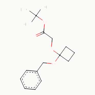 CC(C)(C)OC(=O)COC1(OCc2ccccc2)CCC1